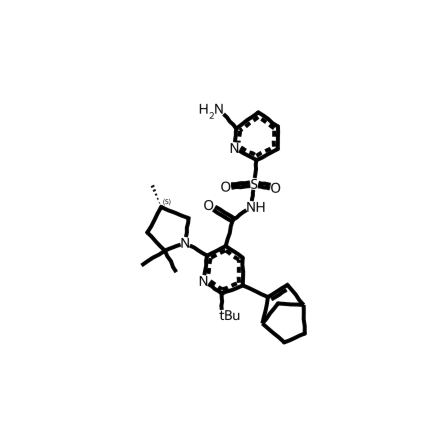 C[C@@H]1CN(c2nc(C(C)(C)C)c(C3=CC4CCC3C4)cc2C(=O)NS(=O)(=O)c2cccc(N)n2)C(C)(C)C1